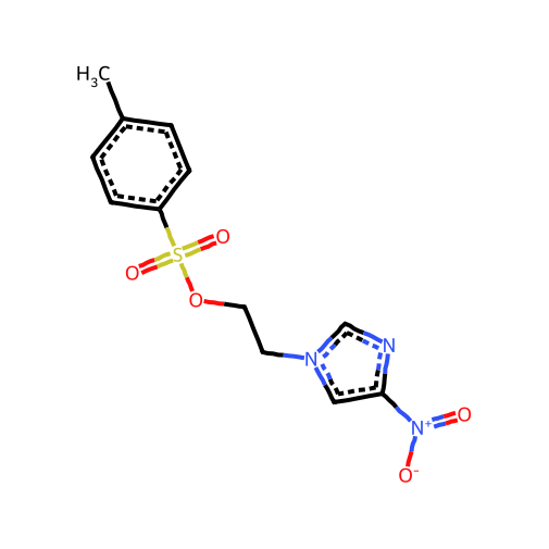 Cc1ccc(S(=O)(=O)OCCn2cnc([N+](=O)[O-])c2)cc1